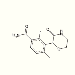 Cc1ccc(C(N)=O)c(C)c1C1OCCNC1=O